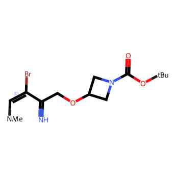 CN/C=C(/Br)C(=N)COC1CN(C(=O)OC(C)(C)C)C1